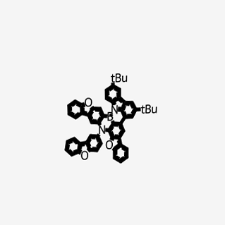 CC(C)(C)c1ccc2c(c1)c1cc(C(C)(C)C)cc3c1n2B1c2cc4oc5ccccc5c4cc2N(c2ccc4oc5ccccc5c4c2)c2c1c-3cc1c2oc2ccccc21